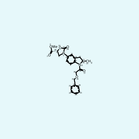 COC(=O)[C@H]1CN(c2ccc3c(c2)C[C@@H](C)N3C(=O)COCc2ccccc2)C(=O)O1